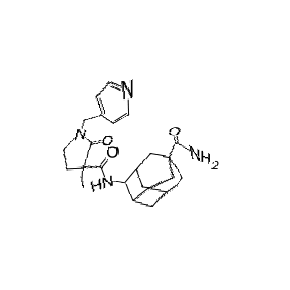 CC1(C(=O)NC2C3CC4CC2CC(C(N)=O)(C4)C3)CCN(Cc2ccncc2)C1=O